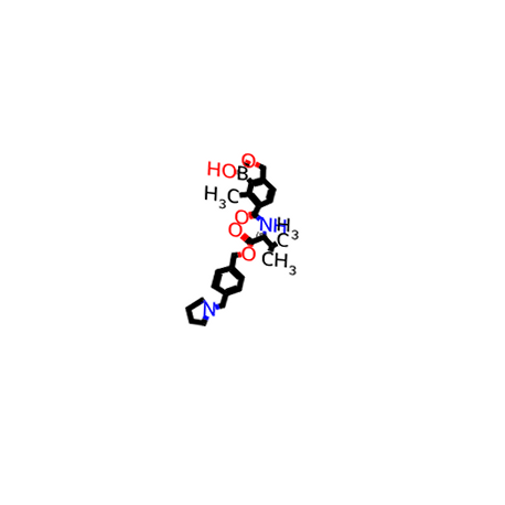 Cc1c(C(=O)N[C@H](C(=O)OCc2ccc(CN3CCCC3)cc2)C(C)C)ccc2c1B(O)OC2